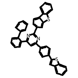 c1ccc(-c2ccccc2-c2cc(-c3ccc(-c4cc5ccccc5s4)cc3)nc(-c3ccc4c(c3)sc3ccccc34)n2)cc1